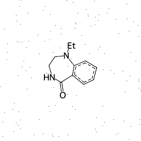 CCN1CCNC(=O)c2ccccc21